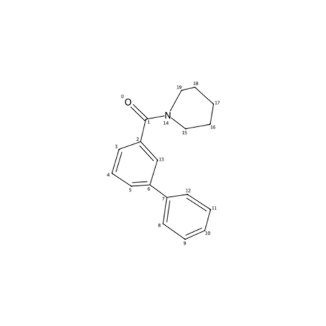 O=C(c1cccc(-c2ccccc2)c1)N1CCCCC1